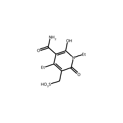 CCc1c(C(N)=O)c(O)n(CC)c(=O)c1CS(=O)(=O)O